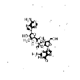 C[C@@H](OP(=O)(O)O[C@@H]1[C@H](F)[C@@H](CO)O[C@H]1n1cnc2c(=O)[nH]c(N)nc21)[C@H]1O[C@@H](n2cnc3c(N)ncnc32)[C@H](O)[C@@]1(C)O